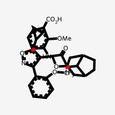 COc1c(NC(=O)NC2C3CCC2CC(OCc2c(-c4ccccc4OC(F)(F)F)noc2C2CC2)C3)cccc1C(=O)O